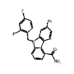 CC(C)c1c[c]c2c3c(C(N)=O)cccc3n(Cc3ccc(F)cc3F)c2c1